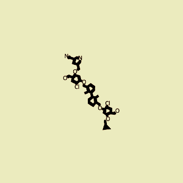 Cc1c(COc2cc(OCc3cncc(C#N)c3)c(C=O)cc2Cl)cccc1-c1cccc(COc2cc(OCC3CC3)c(C=O)cc2Cl)c1C